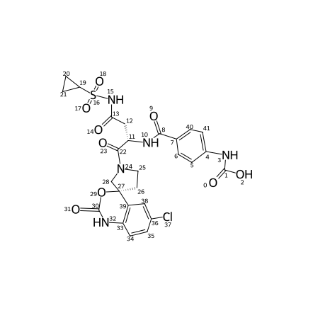 O=C(O)Nc1ccc(C(=O)N[C@@H](CC(=O)NS(=O)(=O)C2CC2)C(=O)N2CC[C@@]3(C2)OC(=O)Nc2ccc(Cl)cc23)cc1